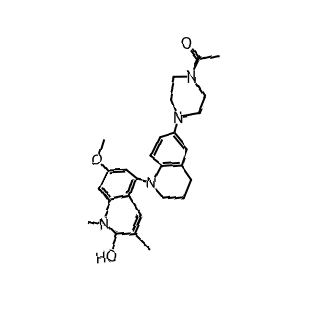 COc1cc(N2CCCc3cc(N4CCN(C(C)=O)CC4)ccc32)c2c(c1)N(C)C(O)C(C)=C2